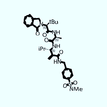 C=C(C(=O)NCc1ccc(S(=O)(=O)NC)cc1)[C@@H](NC(=O)[C@H](C)NC(=O)[C@@H](N1Cc2ccccc2C1=O)C(C)(C)C)C(C)C